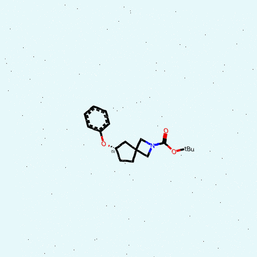 CC(C)(C)OC(=O)N1CC2(CC[C@H](Oc3ccccc3)C2)C1